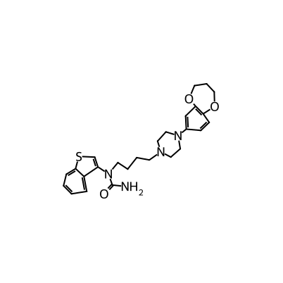 NC(=O)N(CCCCN1CCN(c2ccc3c(c2)OCCCO3)CC1)c1csc2ccccc12